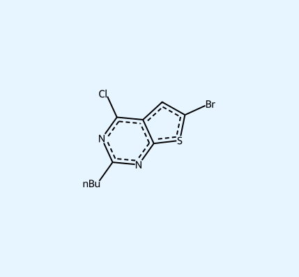 CCCCc1nc(Cl)c2cc(Br)sc2n1